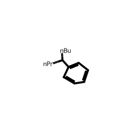 [CH2]CCCC(CCC)c1ccccc1